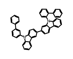 c1ccc(-c2cccc(-n3c4ccccc4c4cc(-c5ccc6c7ccccc7n(-c7ccccc7-c7ccccc7)c6c5)ccc43)c2)cc1